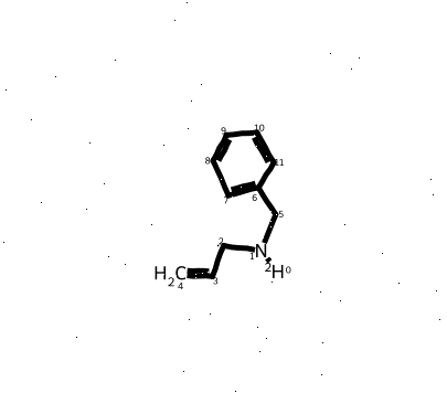 [2H]N([CH]C=C)Cc1ccccc1